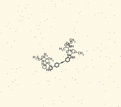 COC(=O)N[C@H](C(=O)N1CC2C([C@H]2C)[C@H]1c1nc2cc(C#Cc3ccc(-c4c[nH]c([C@@H]5CCCN5C(=O)[C@@H](NC(=O)OC)C(C)C)n4)cc3)ccc2[nH]1)C(C)C